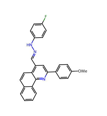 COc1ccc(-c2cc(C=NNc3ccc(F)cc3)c3ccc4ccccc4c3n2)cc1